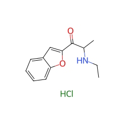 CCNC(C)C(=O)c1cc2ccccc2o1.Cl